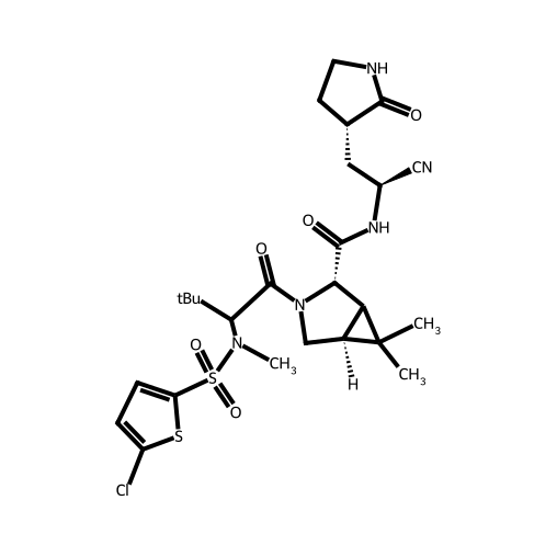 CN(C(C(=O)N1C[C@H]2C([C@H]1C(=O)N[C@H](C#N)C[C@@H]1CCNC1=O)C2(C)C)C(C)(C)C)S(=O)(=O)c1ccc(Cl)s1